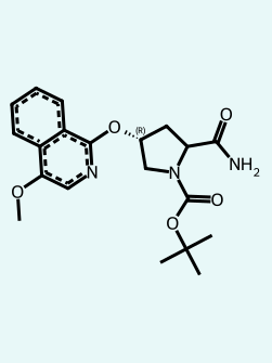 COc1cnc(O[C@@H]2CC(C(N)=O)N(C(=O)OC(C)(C)C)C2)c2ccccc12